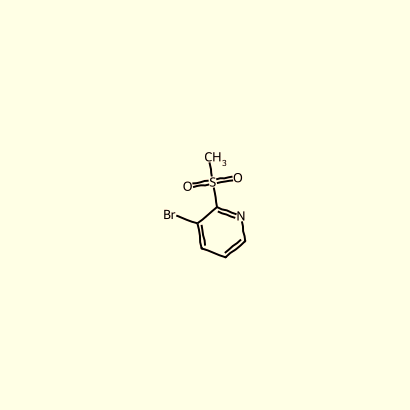 CS(=O)(=O)c1ncccc1Br